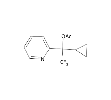 CC(=O)OC(c1ccccn1)(C1CC1)C(F)(F)F